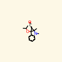 CC(C)OC1(c2ccccc2)C(=C=O)C1(C)N(C)C